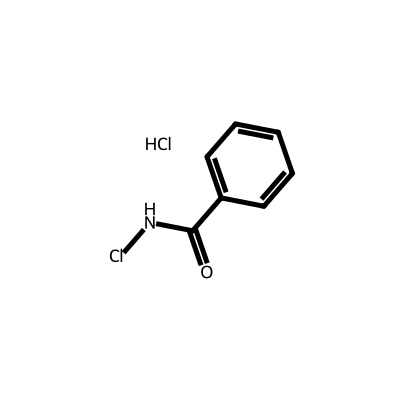 Cl.O=C(NCl)c1ccccc1